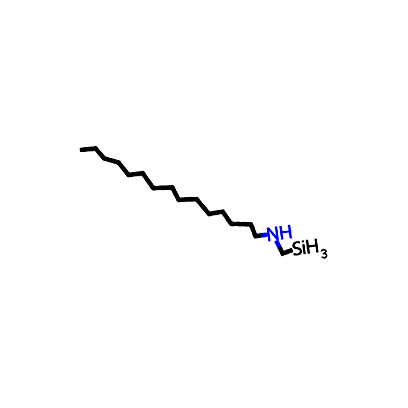 CCCCCCCCCCCCCCCNC[SiH3]